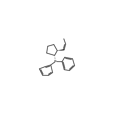 C/C=C\[C@@H]1CCC[C@H]1P(c1ccccc1)c1ccccc1